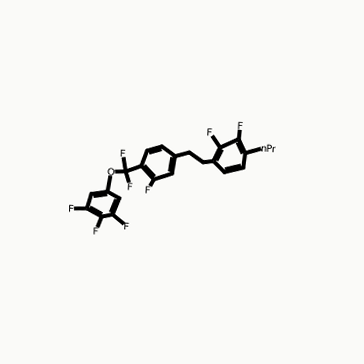 CCCc1ccc(CCc2ccc(C(F)(F)Oc3cc(F)c(F)c(F)c3)c(F)c2)c(F)c1F